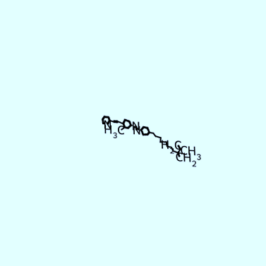 C=C(C)C(=C)CCCCCCCCc1ccc(/N=N/c2ccc(C#Cc3ccccn3)c(C)c2)cc1